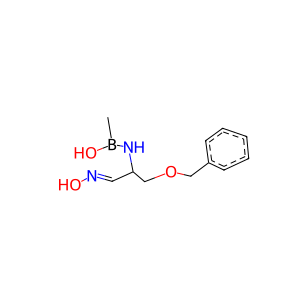 CB(O)NC(C=NO)COCc1ccccc1